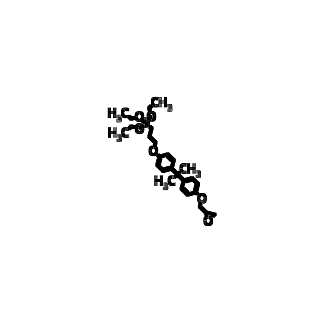 CCO[Si](CCCOc1ccc(C(C)(C)c2ccc(OCC3CO3)cc2)cc1)(OCC)OCC